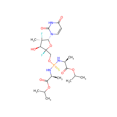 CC(C)OC(=O)[C@H](C)NP(=S)(N[C@@H](C)C(=O)OC(C)C)OC[C@@]1(F)O[C@@H](n2ccc(=O)[nH]c2=O)[C@](C)(F)[C@@H]1O